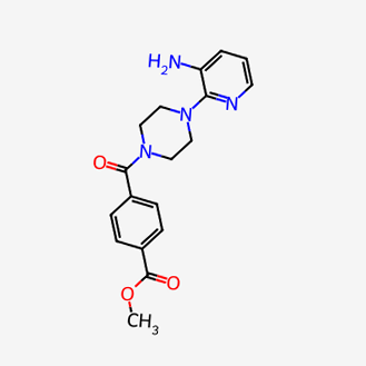 COC(=O)c1ccc(C(=O)N2CCN(c3ncccc3N)CC2)cc1